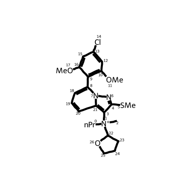 CCC[N+](C)(c1c(SC)nn2c(-c3c(OC)cc(Cl)cc3OC)cccc12)C1CCCO1